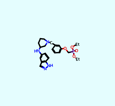 CCOP(=O)(COc1cccc(CN2CCCC(Nc3ccc4[nH]ncc4c3)C2)c1)OCC